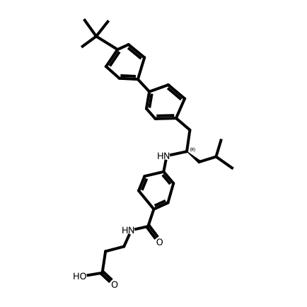 CC(C)C[C@H](Cc1ccc(-c2ccc(C(C)(C)C)cc2)cc1)Nc1ccc(C(=O)NCCC(=O)O)cc1